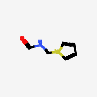 O=[C]NC[SH]1C=CC=C1